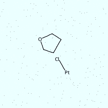 C1CCOC1.[Cl][Pt]